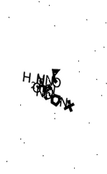 CC1(C)CN([C@H]2CC[C@@](CC#N)(n3cc(C(N)=O)c(NC(=O)C4CC4)n3)CC2)C1